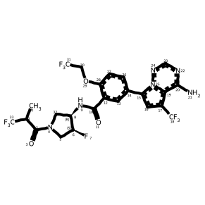 CC(C(=O)N1C[C@H](F)[C@H](NC(=O)c2cc(-c3cc(C(F)(F)F)c4c(N)ncnn34)ccc2OCC(F)(F)F)C1)C(F)(F)F